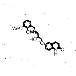 COc1cccc(CNCC(O)COc2ccc3[nH]c(=O)ccc3c2)c1OC